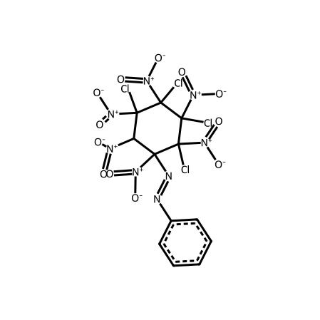 O=[N+]([O-])C1C(Cl)([N+](=O)[O-])C(Cl)([N+](=O)[O-])C(Cl)([N+](=O)[O-])C(Cl)([N+](=O)[O-])C1(N=Nc1ccccc1)[N+](=O)[O-]